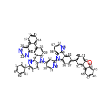 c1ccc(-c2ccc3c(n2)c2cc(-c4ccccc4-c4cncnc4)ccc2n3-c2ccnc(-n3c4ccc(-c5ccc6oc7ccccc7c6c5)cc4c4ncccc43)c2)cc1